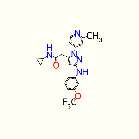 Cc1cc(-n2nc(Nc3cccc(OC(F)(F)F)c3)cc2CC(=O)NC2CC2)ccn1